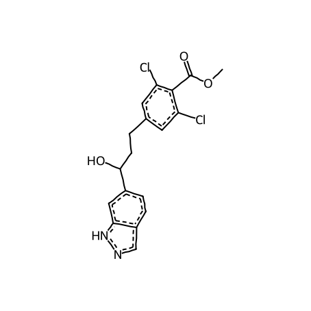 COC(=O)c1c(Cl)cc(CCC(O)c2ccc3cn[nH]c3c2)cc1Cl